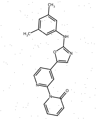 Cc1cc(C)cc(Nc2ncc(-c3ccnc(-n4ccccc4=O)c3)o2)c1